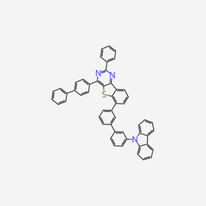 c1ccc(-c2ccc(-c3nc(-c4ccccc4)nc4c3sc3c(-c5cccc(-c6cccc(-n7c8ccccc8c8ccccc87)c6)c5)cccc34)cc2)cc1